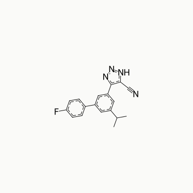 CC(C)c1cc(-c2ccc(F)cc2)cc(-c2nn[nH]c2C#N)c1